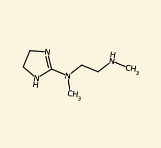 CNCCN(C)C1=NCCN1